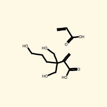 C=C(C(=O)O)C(CO)(CO)CCCO.C=CC(=O)O